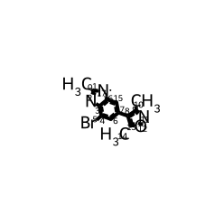 CC1=Nc2c(Br)cc(-c3c(C)noc3C)cc2[N]1